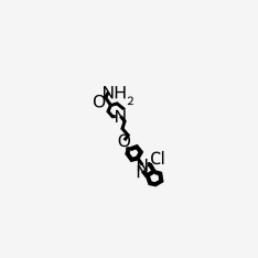 NC(=O)C1CCN(CCCOc2ccc(-n3nc4ccccc4c3Cl)cc2)CC1